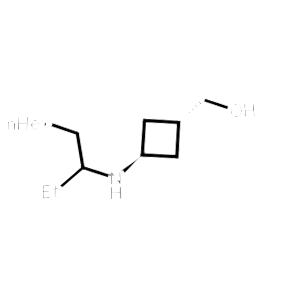 CCCCCCCC(CC)N[C@H]1C[C@H](CO)C1